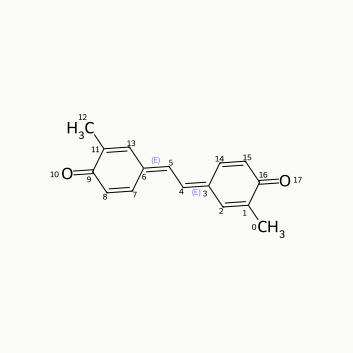 CC1=C/C(=C/C=C2\C=CC(=O)C(C)=C2)C=CC1=O